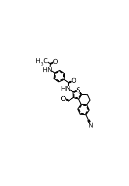 CC(=O)Nc1ccc(C(=O)Nc2sc3c(c2C=O)-c2ccc(C#N)cc2CC3)cc1